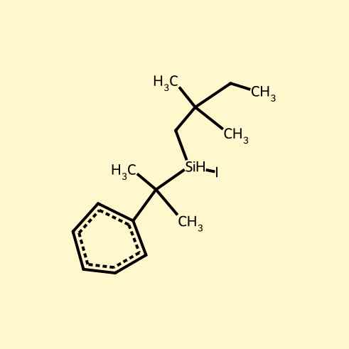 CCC(C)(C)C[SiH](I)C(C)(C)c1ccccc1